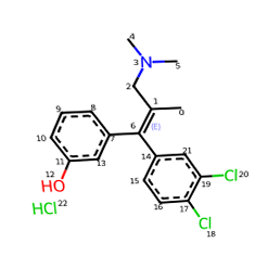 C/C(CN(C)C)=C(/c1cccc(O)c1)c1ccc(Cl)c(Cl)c1.Cl